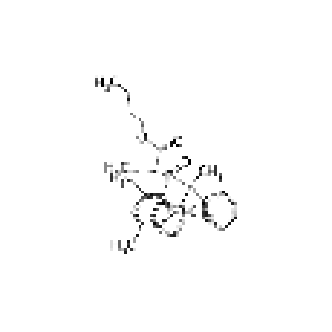 CCCCOC(=O)C(CC)P(=O)(c1c(C)cc(C)cc1C)C(C)(c1ccccc1)c1ccccc1